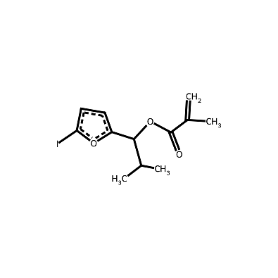 C=C(C)C(=O)OC(c1ccc(I)o1)C(C)C